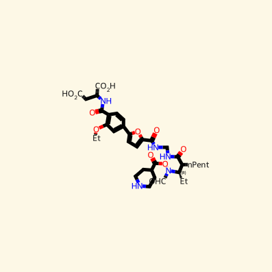 CCCCCC(C(=O)NCNC(=O)c1ccc(-c2ccc(C(=O)NC(CC(=O)O)C(=O)O)c(OCC)c2)o1)[C@@H](CC)N(C=O)OC(=O)C1CCNCC1